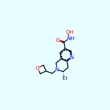 CC[C@H]1Cc2ncc(C(=O)NO)cc2CN1CC1COC1